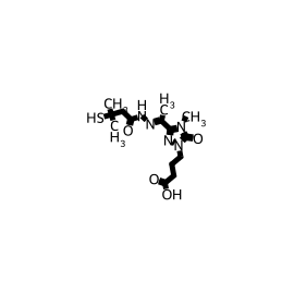 CC(=NNC(=O)CC(C)(C)S)c1nn(CCCC(=O)O)c(=O)n1C